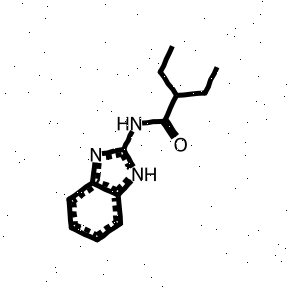 CCC(CC)C(=O)Nc1nc2ccccc2[nH]1